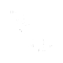 CN(CCC(O)OC(C(F)(F)F)C(F)(F)S(=O)(=O)O)C(=O)C1C2CC3OC(O)C1C3C2